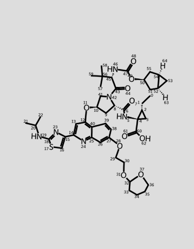 CC[C@@H]1C[C@]1(NC(=O)[C@@H]1C[C@@H](Oc2cc(-c3csc(NC(C)C)n3)nc3cc(OCCOC4CCCCO4)ccc23)CN1C(=O)[C@@H](NC(=O)O[C@@H]1C[C@@H]2C[C@@H]2C1)C(C)(C)C)C(=O)O